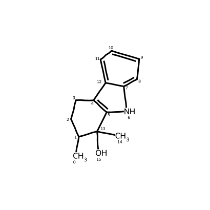 CC1CCc2c([nH]c3ccccc23)C1(C)O